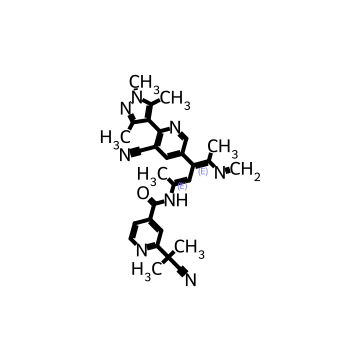 C=N/C(C)=C(\C=C(/C)NC(=O)c1ccnc(C(C)(C)C#N)c1)c1cnc(-c2c(C)nn(C)c2C)c(C#N)c1